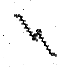 CCCCCCCCCCC[CH](C)[Cd][CH](C)CCCCCCCCCCC